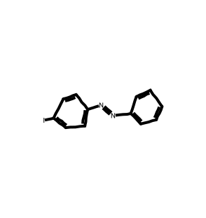 Ic1ccc(N=Nc2ccccc2)cc1